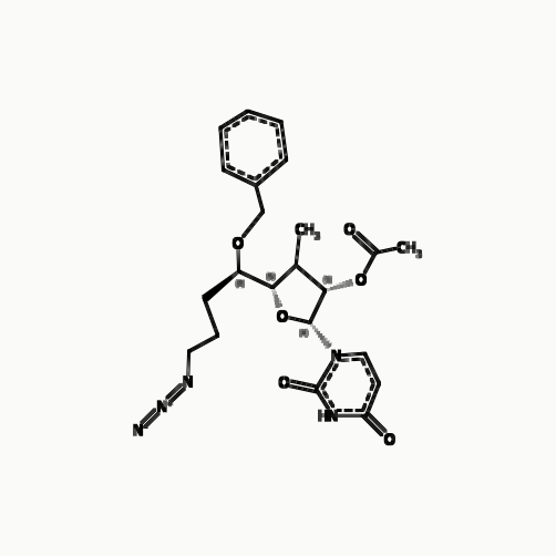 CC(=O)O[C@H]1C(C)[C@@H]([C@@H](CCCN=[N+]=[N-])OCc2ccccc2)O[C@H]1n1ccc(=O)[nH]c1=O